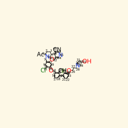 CC(=O)[C@@H]1CCCCN1Cc1cc(Cl)c(OCc2cccc(-c3cccc(OCCCN4CC[C@@H](O)C4)c3F)c2C)cc1OCc1cncc(C#N)c1